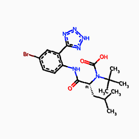 CC(C)C[C@H](C(=O)Nc1ccc(Br)cc1-c1nn[nH]n1)N(C(=O)O)C(C)(C)C